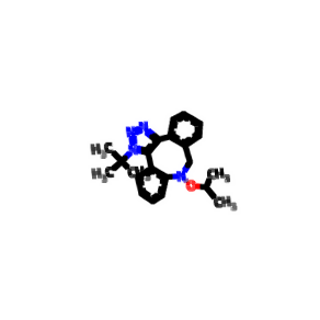 CC(C)ON1Cc2ccccc2-c2nnn(C(C)(C)C)c2-c2ccccc21